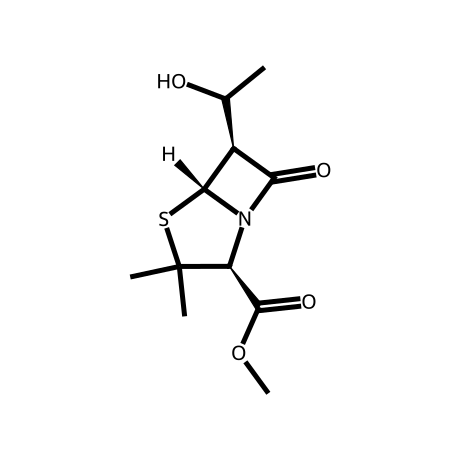 COC(=O)[C@@H]1N2C(=O)[C@H](C(C)O)[C@H]2SC1(C)C